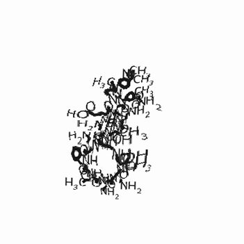 Cc1ccc(N(C(=O)C[C@H](NC(=O)[C@@H](N)CCC(=O)O)C(=O)N[C@H](CCN)C(=O)N[C@H](C(=O)N[C@@H](CCN)C(=O)N[C@H]2CCNC(=O)[C@H]([C@@H](C)O)NC(=O)[C@H](CCN)NC(=O)[C@H](CCN)NC(=O)[C@H](CC(C)C)NC(=O)[C@@H](Cc3ccccc3)NC(=O)[C@H](CCN)NC2=O)[C@@H](C)O)c2nccc(N(C)c3ccc4c(C)n(C)nc4c3)n2)cc1S(N)(=O)=O